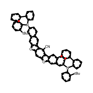 CC(C)(C)c1ccccc1N(c1ccc2cc3c(cc2c1)oc1cc2oc4cc5cc(N(c6ccccc6-c6ccccc6)c6ccccc6C(C)(C)C)ccc5cc4c2c(C#N)c13)c1ccccc1-c1ccccc1